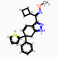 CO/N=C(/c1n[nH]c2c1C=CC(c1ccccc1)(c1cccs1)C2)C1CCC1